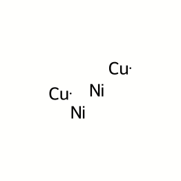 [Cu].[Cu].[Ni].[Ni]